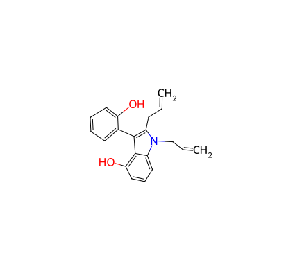 C=CCc1c(-c2ccccc2O)c2c(O)cccc2n1CC=C